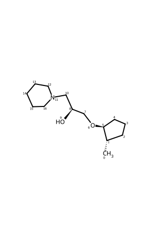 C[C@H]1CCC[C@@H]1OC[C@@H](O)CN1CCCCC1